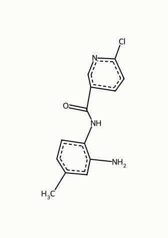 Cc1ccc(NC(=O)c2ccc(Cl)nc2)c(N)c1